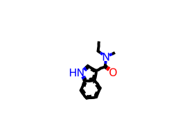 CCN(C)C(=O)c1c[nH]c2ccccc12